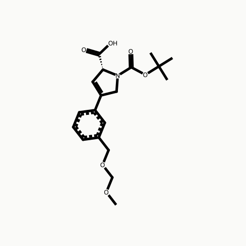 COCOCc1cccc(C2=C[C@H](C(=O)O)N(C(=O)OC(C)(C)C)C2)c1